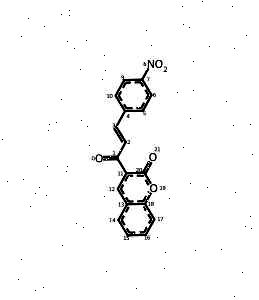 O=C(C=Cc1ccc([N+](=O)[O-])cc1)c1cc2ccccc2oc1=O